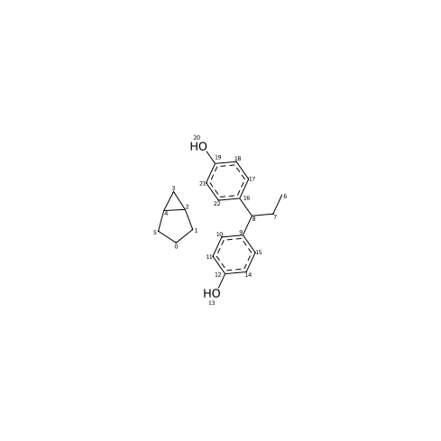 C1CC2CC2C1.CCC(c1ccc(O)cc1)c1ccc(O)cc1